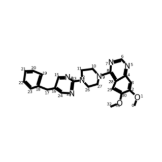 COc1cc2ncnc(N3CCN(c4ncc(Cc5ccccc5)cn4)CC3)c2cc1OC